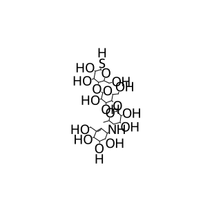 CC1OC(OC2C(CO)OC(OC3C(CO)OC(S)C(O)C3O)C(O)C2O)C(O)C(O)C1NC1C=C(CO)C(O)C(O)C1O